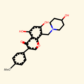 COc1ccc(-c2coc3c(CN4CCC(O)CC4)c(O)cc(O)c3c2=O)cc1